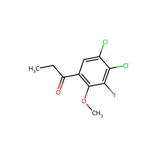 CCC(=O)c1cc(Cl)c(Cl)c(I)c1OC